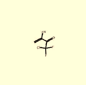 C=C(C#N)C(=O)C(F)(F)Cl